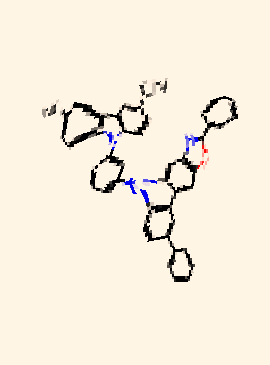 N#Cc1ccc2c(c1)c1cc(C#N)ccc1n2-c1cccc(-n2c3ccc(-c4ccccc4)cc3c3cc4oc(-c5ccccc5)nc4cc32)c1